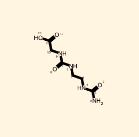 NC(=O)NCCNC(=O)NCC(=O)O